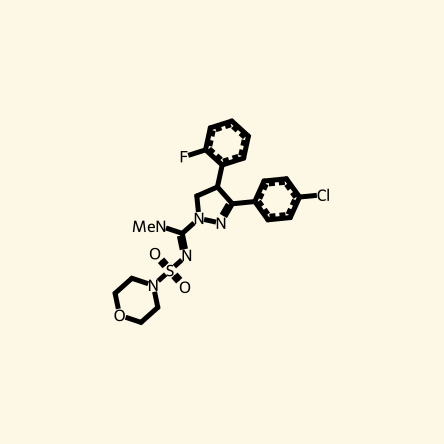 CN/C(=N\S(=O)(=O)N1CCOCC1)N1CC(c2ccccc2F)C(c2ccc(Cl)cc2)=N1